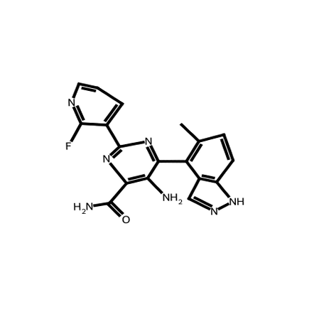 Cc1ccc2[nH]ncc2c1-c1nc(-c2cccnc2F)nc(C(N)=O)c1N